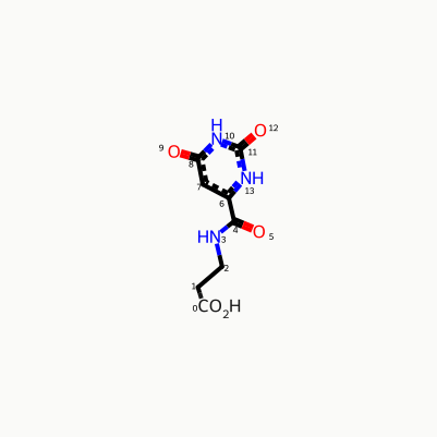 O=C(O)CCNC(=O)c1cc(=O)[nH]c(=O)[nH]1